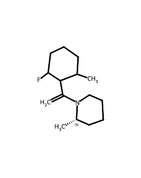 C=C(C1C(C)CCCC1F)N1CCCC[C@@H]1C